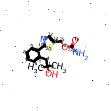 CC(C)(O)Cc1ccccc1-c1ncc(COC(N)=O)s1